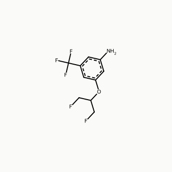 Nc1cc(OC(CF)CF)cc(C(F)(F)F)c1